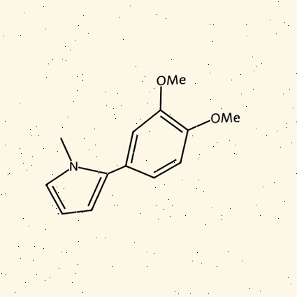 COc1ccc(-c2c[c]cn2C)cc1OC